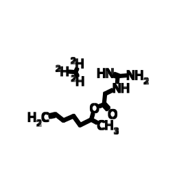 C=CCCCC(C)OC(=O)CNC(=N)N.[2H]C([2H])[2H]